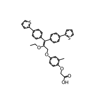 CCOC(COc1ccc(OCC(=O)O)c(C)c1)=C(c1ccc(-c2cccs2)cc1)c1ccc(-c2cccs2)cc1